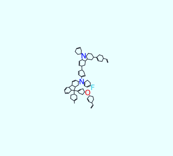 C=CC1C=CC(OC2CC=C(C3(C4CC=C(C)CC4)C4C=CC=CC4C4C=CC(N(C5=CCC(C6C=CC7C(C6)C6CC(C8=CCC(C=C)CC8)CCC6N7C6CC=CCC6)C=C5)C5=CC=C(F)CC5)CC43)CC2)CC1